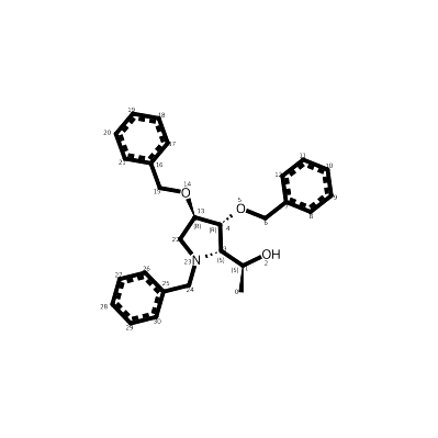 C[C@H](O)[C@H]1[C@@H](OCc2ccccc2)[C@H](OCc2ccccc2)CN1Cc1ccccc1